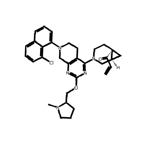 C=CC(=O)[C@@]12CCN(c3nc(OCC4CCCN4C)nc4c3CCN(c3cccc5cccc(Cl)c35)C4)C[C@@H]1C2